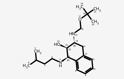 CC(C)CCN[C@@H]1c2ccccc2C[C@@H](NCOC(C)(C)C)[C@@H]1O